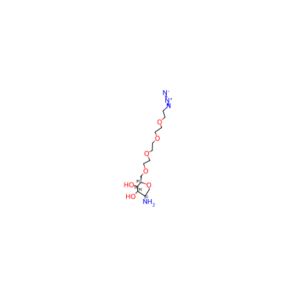 [N-]=[N+]=NCCOCCOCCOCCOC[C@H]1OC[C@H](N)[C@@H](O)[C@H]1O